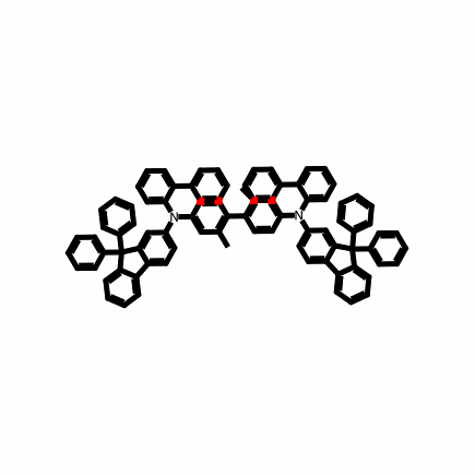 Cc1cc(N(c2ccc3c(c2)C(c2ccccc2)(c2ccccc2)c2ccccc2-3)c2ccccc2-c2ccccc2)ccc1-c1ccc(N(c2ccc3c(c2)C(c2ccccc2)(c2ccccc2)c2ccccc2-3)c2ccccc2-c2ccccc2)cc1C